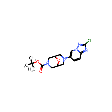 CC(C)(C)OC(=O)N1CC2CN(c3ccc4nc(Cl)nn4c3)CC(C1)O2